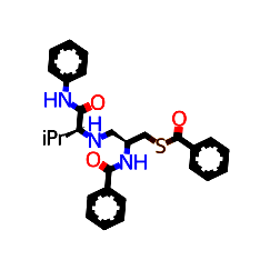 CC(C)[C@H](NC[C@@H](CSC(=O)c1ccccc1)NC(=O)c1ccccc1)C(=O)Nc1ccccc1